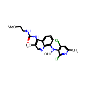 COCCNC(=O)Nc1c(C)cnc2c(N(C=O)c3c(Cl)cc(C)nc3Cl)cccc12